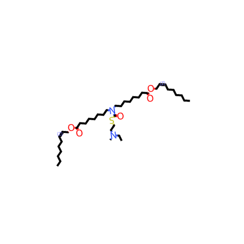 CCCCCC/C=C\COC(=O)CCCCCCCN(CCCCCCCC(=O)OC/C=C\CCCCCC)C(=O)SCCN(C)CC